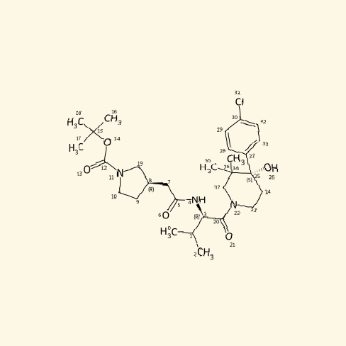 CC(C)[C@@H](NC(=O)C[C@H]1CCN(C(=O)OC(C)(C)C)C1)C(=O)N1CC[C@](O)(c2ccc(Cl)cc2)C(C)(C)C1